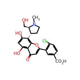 CN1CC[C@H](c2c(O)cc(O)c3c(=O)cc(-c4cc(C(=O)O)ccc4Cl)oc23)[C@H]1CO